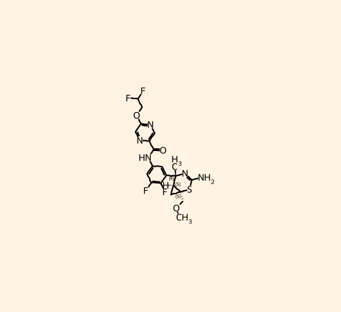 COC[C@]12C[C@H]1[C@](C)(c1cc(NC(=O)c3cnc(OCC(F)F)cn3)cc(F)c1F)N=C(N)S2